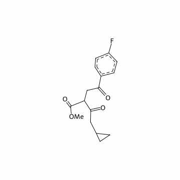 COC(=O)C(CC(=O)c1ccc(F)cc1)C(=O)CC1CC1